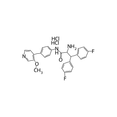 COc1cnccc1-c1ccc(NC(=O)C(N)C(c2ccc(F)cc2)c2ccc(F)cc2)cc1.Cl.Cl